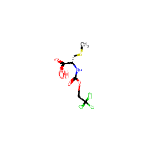 CSC[C@H](NC(=O)OCC(Cl)(Cl)Cl)C(=O)O